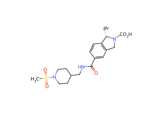 CC(C)[C@H]1c2ccc(C(=O)NCC3CCN(S(C)(=O)=O)CC3)cc2CN1C(=O)O